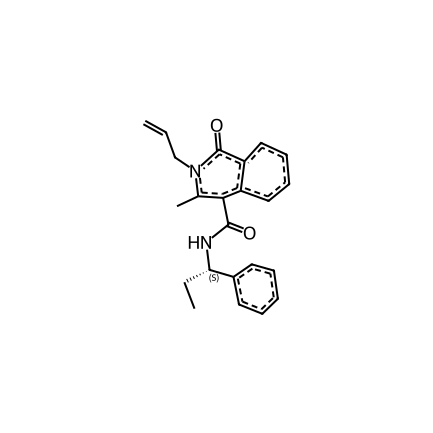 C=CCn1c(C)c(C(=O)N[C@@H](CC)c2ccccc2)c2ccccc2c1=O